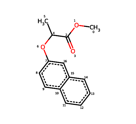 COC(=O)C(C)Oc1ccc2ccccc2c1